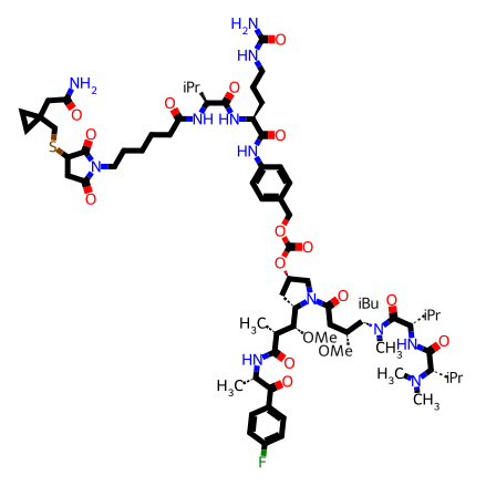 CC[C@H](C)[C@@H]([C@@H](CC(=O)N1C[C@@H](OC(=O)OCc2ccc(NC(=O)[C@H](CCCNC(N)=O)NC(=O)[C@@H](NC(=O)CCCCCN3C(=O)CC(SCC4(CC(N)=O)CC4)C3=O)C(C)C)cc2)C[C@H]1[C@H](OC)[C@@H](C)C(=O)N[C@@H](C)C(=O)c1ccc(F)cc1)OC)N(C)C(=O)[C@@H](NC(=O)[C@H](C(C)C)N(C)C)C(C)C